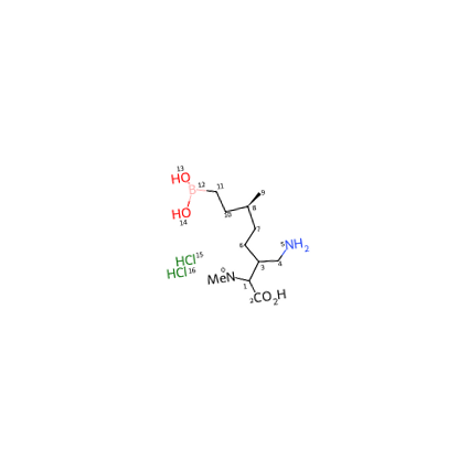 CNC(C(=O)O)C(CN)CC[C@H](C)CCB(O)O.Cl.Cl